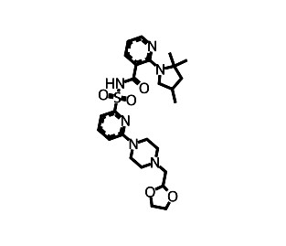 CC1CN(c2ncccc2C(=O)NS(=O)(=O)c2cccc(N3CCN(CC4OCCO4)CC3)n2)C(C)(C)C1